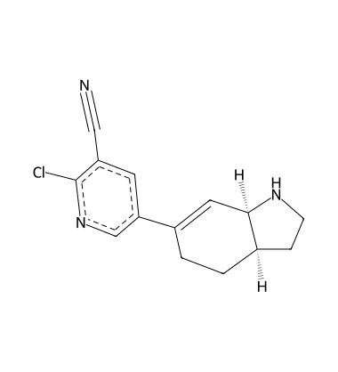 N#Cc1cc(C2=C[C@H]3NCC[C@H]3CC2)cnc1Cl